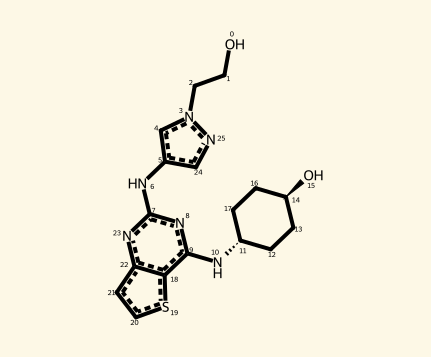 OCCn1cc(Nc2nc(N[C@H]3CC[C@H](O)CC3)c3sccc3n2)cn1